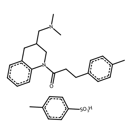 Cc1ccc(CCC(=O)N2CC(CN(C)C)Cc3ccccc32)cc1.Cc1ccc(S(=O)(=O)O)cc1